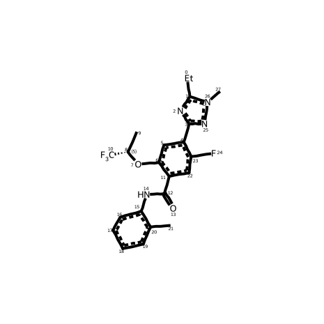 CCc1nc(-c2cc(O[C@@H](C)C(F)(F)F)c(C(=O)Nc3ccccc3C)cc2F)nn1C